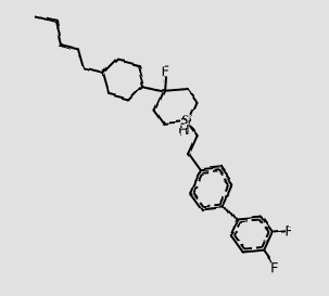 CCCCCC1CCC(C2(F)CC[SiH](CCc3ccc(-c4ccc(F)c(F)c4)cc3)CC2)CC1